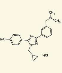 COc1ccc(-c2nc(-c3cccc(CN(C)C)c3)nn2CC2CC2)cc1.Cl